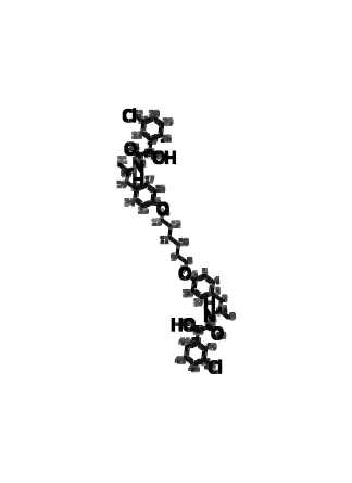 C[C@H](Cc1ccc(OCCCCCCOc2ccc(C[C@@H](C)NC(=O)[C@H](O)c3cccc(Cl)c3)cc2)cc1)NC(=O)[C@H](O)c1cccc(Cl)c1